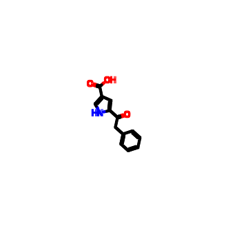 O=C(O)c1c[nH]c(C(=O)Cc2ccccc2)c1